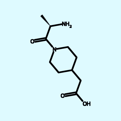 C[C@H](N)C(=O)N1CCC(CC(=O)O)CC1